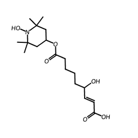 CC1(C)CC(OC(=O)CCCCC(O)C=CC(=O)O)CC(C)(C)N1O